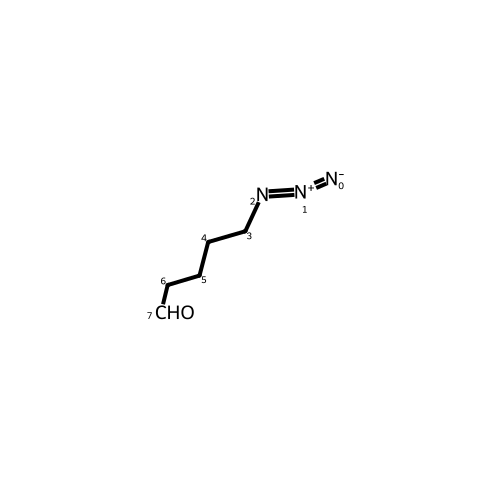 [N-]=[N+]=NCCCCC=O